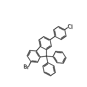 Clc1ccc(-c2ccc3c(c2)C(c2ccccc2)(c2ccccc2)c2cc(Br)ccc2-3)cc1